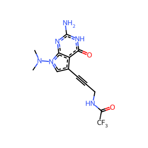 CN(C)n1cc(C#CCNC(=O)C(F)(F)F)c2c(=O)[nH]c(N)nc21